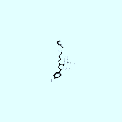 COC(CC(CCCCNCc1cccs1)C(=O)NO)c1ccc(F)cc1